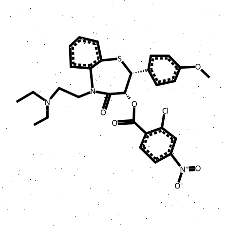 CCN(CC)CCN1C(=O)[C@@H](OC(=O)c2ccc([N+](=O)[O-])cc2Cl)[C@@H](c2ccc(OC)cc2)Sc2ccccc21